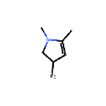 CCC1C=C(C)N(C)C1